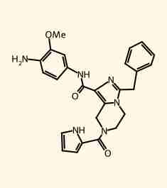 COc1cc(NC(=O)c2nc(Cc3ccccc3)n3c2CN(C(=O)c2ccc[nH]2)CC3)ccc1N